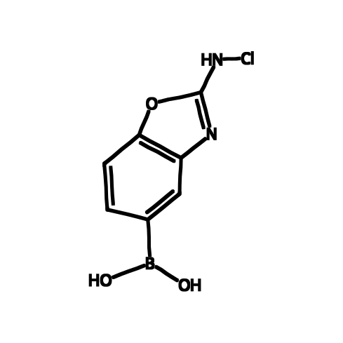 OB(O)c1ccc2oc(NCl)nc2c1